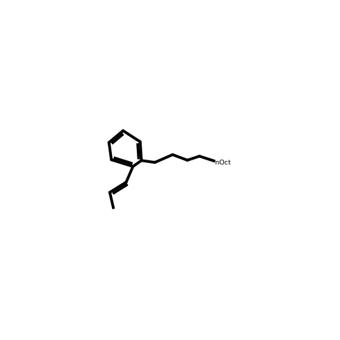 CC=Cc1ccccc1CCCCCCCCCCCC